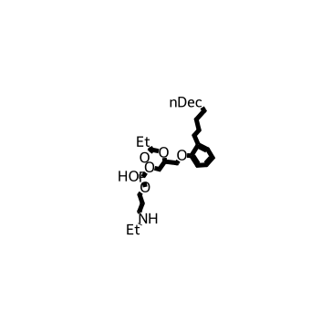 CCCCCCCCCCCCCCc1ccccc1OCC(COP(O)OCCCNCC)OC(=O)CC